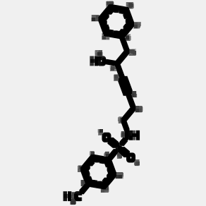 Cc1ccc(S(=O)(=O)NCCC#CC(O)Cc2ccccc2)cc1